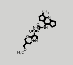 COCC1COc2c(S(N)(=O)=NC(=O)Nc3c4c(nc5c3CCC5C)CCC4)cnn2C1